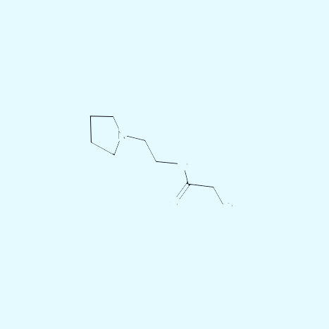 CC(C)CC(=O)OCCN1CCCC1